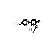 COc1nc(N2CCC(C)CC2)ccc1Br